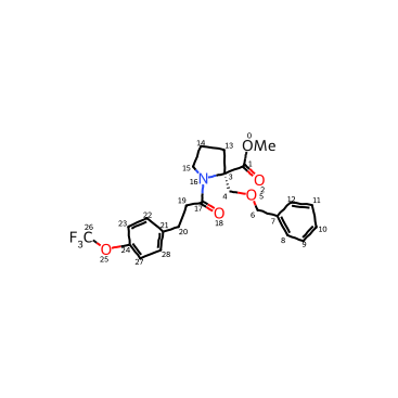 COC(=O)[C@]1(COCc2ccccc2)CCCN1C(=O)CCc1ccc(OC(F)(F)F)cc1